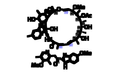 CO[C@H]1/C=C/O[C@@]2(C)Oc3c(C)c(O)c4c(O)c(c5c(nc6cc(C)ccn65)c4c3C2=O)NC(=O)/C(C)=C\C=C\[C@H](C)[C@H](O)[C@@H](C)[C@@H](O)[C@@H](C)[C@H](OC(C)=O)[C@@H]1C.COc1ccc2[nH]c([S+]([O-])Cc3ncc(C)c(OC)c3C)nc2c1